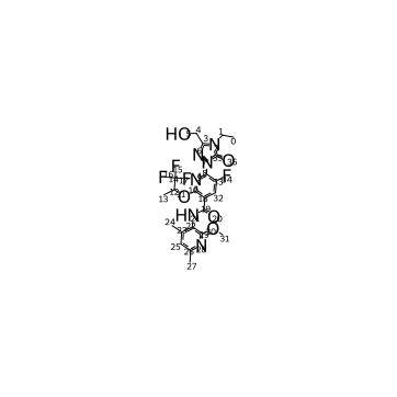 CCn1c(CO)nn(-c2nc(OC(C)C(F)(F)F)c(C(=O)Nc3c(C)cc(C)nc3OC)cc2F)c1=O